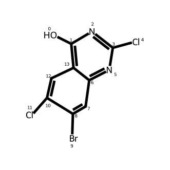 Oc1nc(Cl)nc2cc(Br)c(Cl)cc12